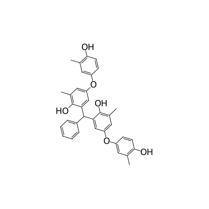 Cc1cc(Oc2cc(C)c(O)c(C(c3ccccc3)c3cc(Oc4ccc(O)c(C)c4)cc(C)c3O)c2)ccc1O